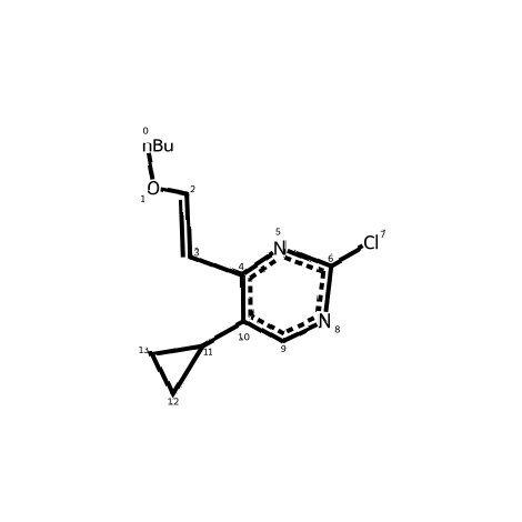 CCCCOC=Cc1nc(Cl)ncc1C1CC1